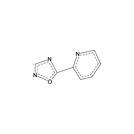 [c]1noc(-c2ccccn2)n1